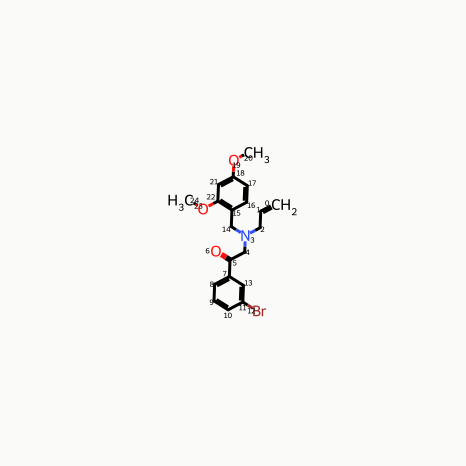 C=CCN(CC(=O)c1cccc(Br)c1)Cc1ccc(OC)cc1OC